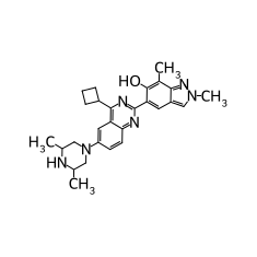 Cc1c(O)c(-c2nc(C3CCC3)c3cc(N4CC(C)NC(C)C4)ccc3n2)cc2cn(C)nc12